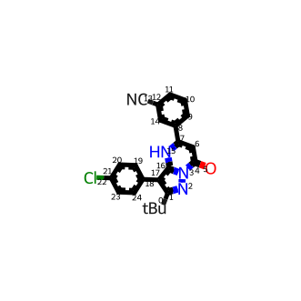 CC(C)(C)c1nn2c(=O)cc(-c3cccc(C#N)c3)[nH]c2c1-c1ccc(Cl)cc1